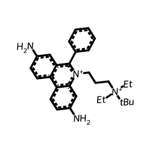 CC[N+](CC)(CCC[n+]1c(-c2ccccc2)c2cc(N)ccc2c2ccc(N)cc21)C(C)(C)C